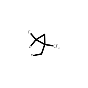 FCC1(C(F)(F)F)CC1(F)F